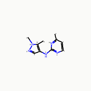 Cc1ccnc(Nc2cnn(C)c2C)n1